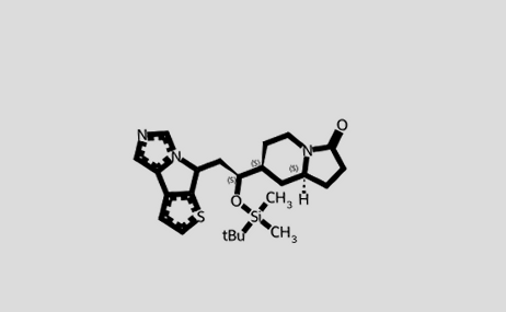 CC(C)(C)[Si](C)(C)O[C@@H](CC1c2sccc2-c2cncn21)[C@H]1CCN2C(=O)CC[C@H]2C1